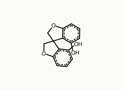 Oc1cccc2c1C1(CO2)COc2cccc(O)c21